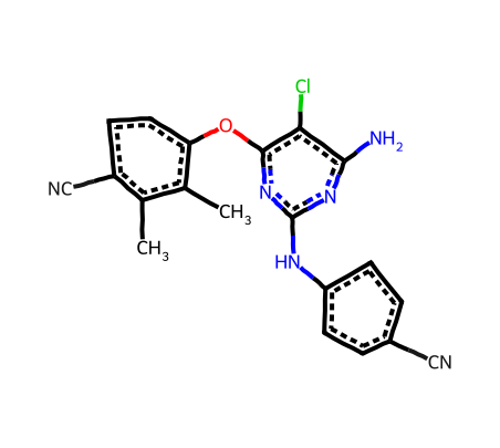 Cc1c(C#N)ccc(Oc2nc(Nc3ccc(C#N)cc3)nc(N)c2Cl)c1C